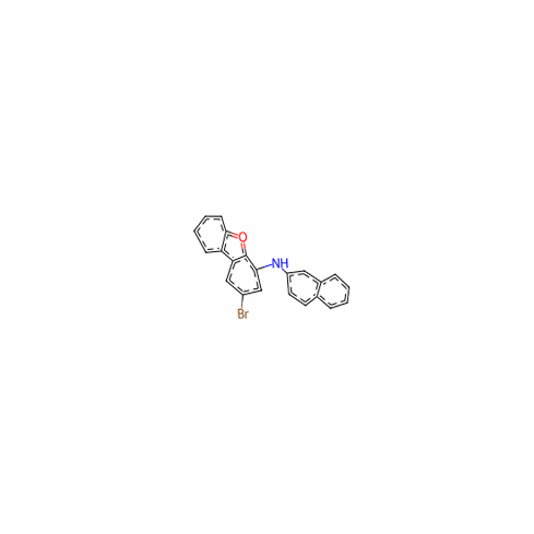 Brc1cc(Nc2ccc3ccccc3c2)c2oc3ccccc3c2c1